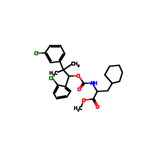 COC(=O)C(CC1CCCCC1)NC(=O)OC(c1ccccc1Cl)C(C)(C)c1cccc(Cl)c1